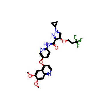 COc1cc2nccc(Oc3ccc(NC(=O)c4nn(C5CC5)cc4OCCC(F)(F)F)nc3)c2cc1OC